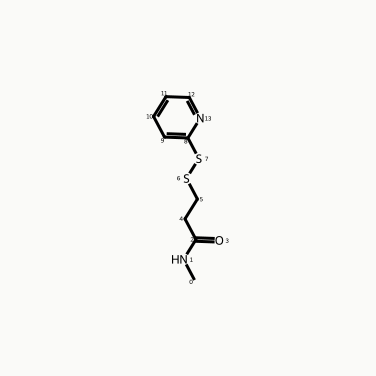 CNC(=O)CCSSc1ccccn1